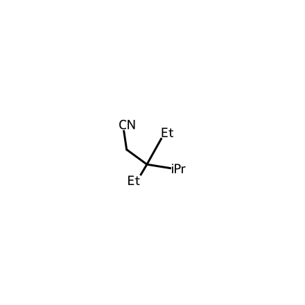 CCC(CC)(CC#N)C(C)C